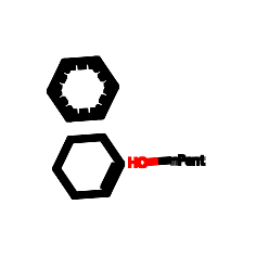 C1=CCCCC1.CCCCCO.c1ccccc1